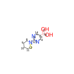 OB(O)c1cnc(N2CCCCS2)nc1